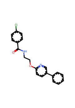 O=C(NCCOc1ccc(-c2ccccc2)cn1)c1ccc(Cl)cc1